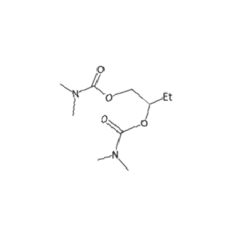 CCC(COC(=O)N(C)C)OC(=O)N(C)C